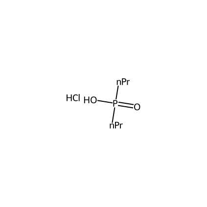 CCCP(=O)(O)CCC.Cl